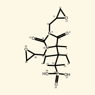 CCC(CC)(C1(C)C(=O)N(CC2CO2)C(=O)N1CC1CO1)C(C)(C)P(=O)(O)O